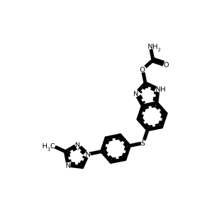 Cc1ncn(-c2ccc(Sc3ccc4[nH]c(OC(N)=O)nc4c3)cc2)n1